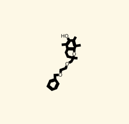 Cc1c(C)c2c(c(C)c1O)CCC(C)(COCCOCc1ccccc1)O2